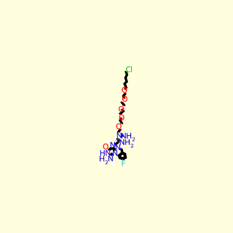 N/C(=C\N(N)CCOCCOCCOCCOCCOCCCCCCCl)c1nc2c(=O)[nH]c(N)nc2n1Cc1ccc(F)cc1